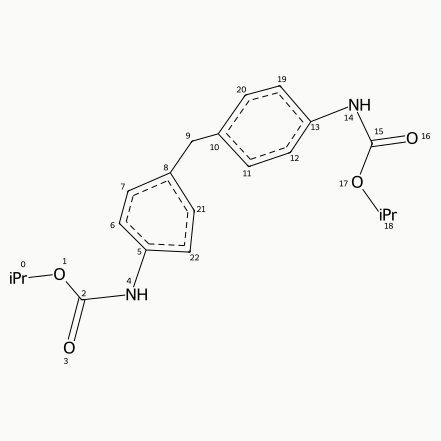 CC(C)OC(=O)Nc1ccc(Cc2ccc(NC(=O)OC(C)C)cc2)cc1